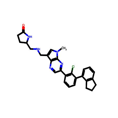 Cn1cc(CNCC2CCC(=O)N2)c2ncc(-c3cccc(-c4cccc5c4CCC5)c3Cl)nc21